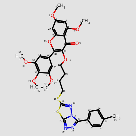 COc1cc(OC)c2c(=O)c(OCCCCSc3nn4c(-c5ccc(C)cc5)nnc4s3)c(-c3cc(OC)c(OC)c(OC)c3)oc2c1